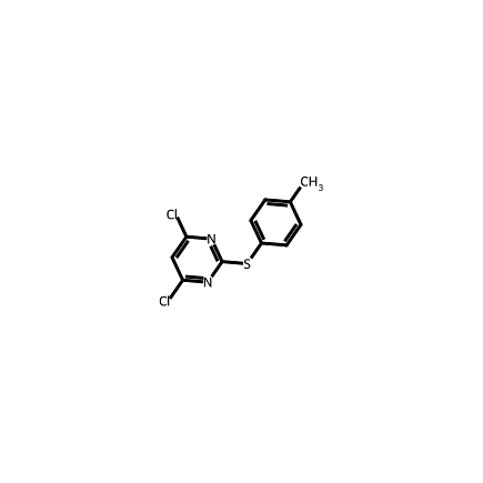 Cc1ccc(Sc2nc(Cl)cc(Cl)n2)cc1